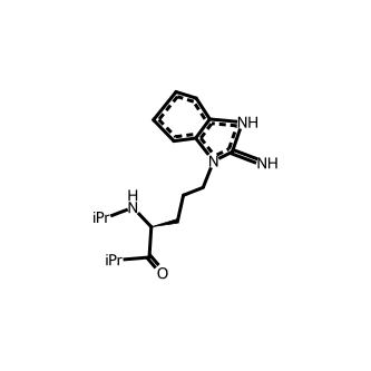 CC(C)N[C@@H](CCCn1c(=N)[nH]c2ccccc21)C(=O)C(C)C